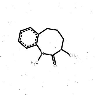 CC1CCCc2ccccc2N(C)C1=O